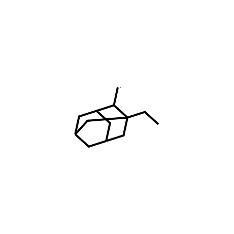 [CH2]C1C2CC3CC(C2)CC1(CC)C3